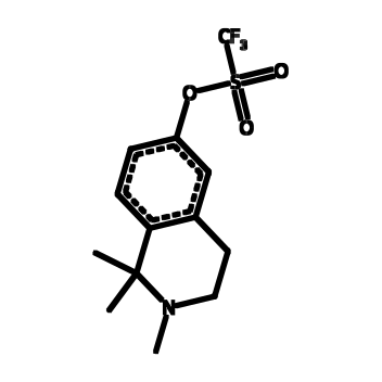 CN1CCc2cc(OS(=O)(=O)C(F)(F)F)ccc2C1(C)C